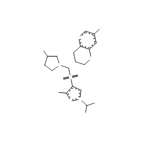 Cc1nn(C(F)F)cc1S(=O)(=O)[C@@H](C1CNc2cc(N)cnc2C1)N1CCC(O)C1